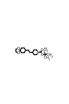 CC(C)(C)OC(=O)N1CCC(CCC2CCC3(CC2)OCCO3)CC1